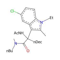 CCCCCCCCCCC(NC(C)=O)(C(=O)N(C)CCCC)c1c(C)n(CC)c2ccc(Cl)cc12